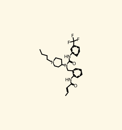 C/C=C/C(=O)Nc1ccccc1CN(C(=O)Nc1cccc(C(F)(F)F)c1)C1CCN(CCCC)CC1